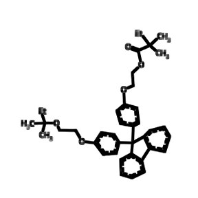 CCC(C)(C)OCCOc1ccc(C2(c3ccc(OCCOC(=O)C(C)(C)CC)cc3)c3ccccc3-c3ccccc32)cc1